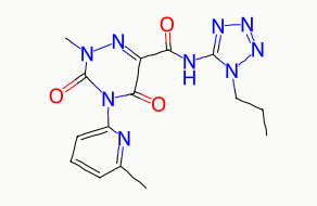 CCCn1nnnc1NC(=O)c1nn(C)c(=O)n(-c2cccc(C)n2)c1=O